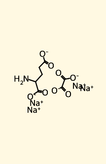 NC(CCC(=O)[O-])C(=O)[O-].O=C([O-])C(=O)[O-].[Na+].[Na+].[Na+].[Na+]